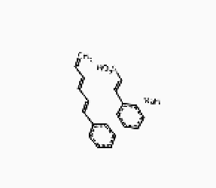 C=CC=CC=Cc1ccccc1.O=S(=O)(O)C=Cc1ccccc1.[NaH]